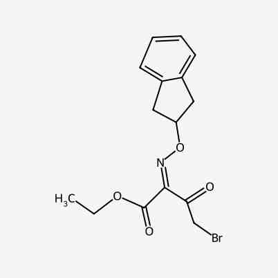 CCOC(=O)/C(=N/OC1Cc2ccccc2C1)C(=O)CBr